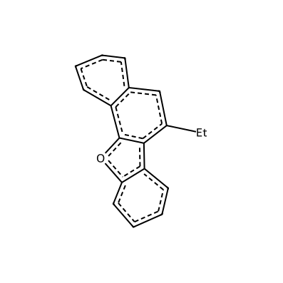 CCc1cc2ccccc2c2oc3ccccc3c12